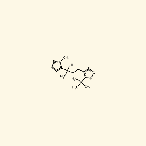 Cn1nncc1C(C)(C)CCc1nonc1C(C)(C)C